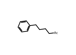 CC(=O)CCCCc1ccccc1